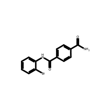 NC(=O)c1ccc(C(=O)Nc2ccccc2Br)cc1